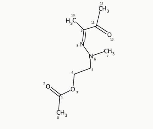 CC(=O)OCCN(C)N=C(C)C(C)=O